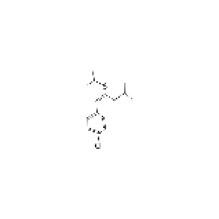 CC(C)C/C(=C\c1ccc(Cl)cc1)SC(C)C